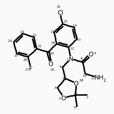 CC1(C)OCC(CN(C(=O)CN)c2ccc(Cl)cc2C(=O)c2ccccc2F)O1